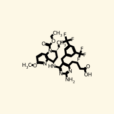 CCOC(=O)N1c2ccc(OC)nc2[C@@H](Nc2nc(N)nc(CCCC(=O)O)c2Cc2cc(C(F)(F)F)cc(C(F)(F)F)c2)C[C@H]1CC